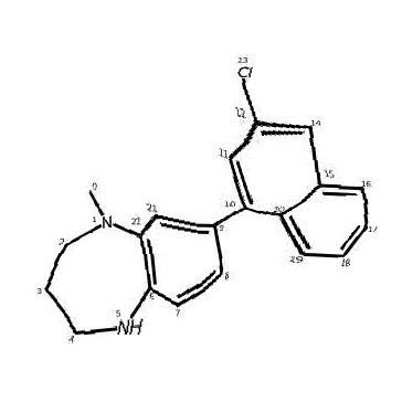 CN1CCCNc2ccc(-c3cc(Cl)cc4ccccc34)cc21